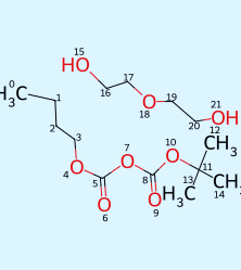 CCCCOC(=O)OC(=O)OC(C)(C)C.OCCOCCO